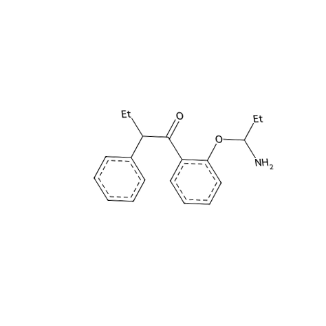 CCC(N)Oc1ccccc1C(=O)C(CC)c1ccccc1